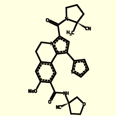 COc1cc2c(cc1C(=O)N[C@]1(C#N)CCOC1)-c1c(-c3cccs3)cc(C(=O)N3CCC[C@]3(C)C#N)n1CC2